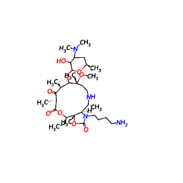 CC[C@H]1OC(=O)[C@H](C)C(=O)[C@@H](C)[C@@H](O[C@@H]2O[C@H](C)CC(N(C)C)C2O)[C@](C)(OC)CCN[C@H](C)[C@H]2N(CCCCN)C(=O)O[C@]12C